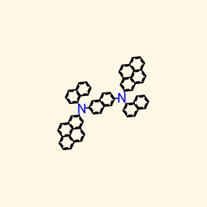 c1ccc2c(N(c3ccc4cc(N(c5cc6ccc7cccc8ccc(c5)c6c78)c5cccc6ccccc56)ccc4c3)c3cc4ccc5cccc6ccc(c3)c4c56)cccc2c1